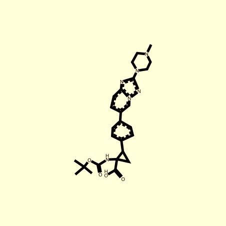 CN1CCN(c2nc3ccc(-c4ccc(C5CC5(NC(=O)OC(C)(C)C)C(=O)O)cc4)cn3n2)CC1